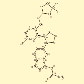 CC1(C)OCC(COc2ccc(F)cc2[C@H]2CCCN2c2ccn3ncc(OC(N)=O)c3n2)O1